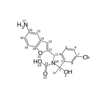 CC(O)(c1cccc(Cl)c1)N(Cc1cc2cc(N)ccc2o1)C(=O)O